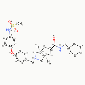 CS(=O)(=O)Nc1ccc(Oc2ccc(CN3C[C@H]4C[C@@H](C(=O)NCC5CCCCC5)C[C@H]4C3)cc2)cc1